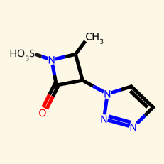 CC1C(n2ccnn2)C(=O)N1S(=O)(=O)O